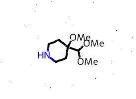 COC(OC)C1(OC)CCNCC1